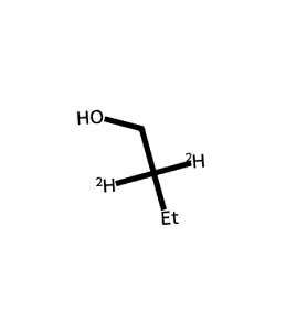 [2H]C([2H])(CC)CO